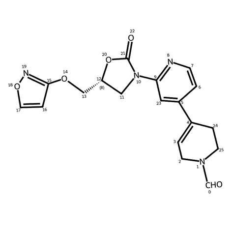 O=CN1CC=C(c2ccnc(N3C[C@H](COc4ccon4)OC3=O)c2)CC1